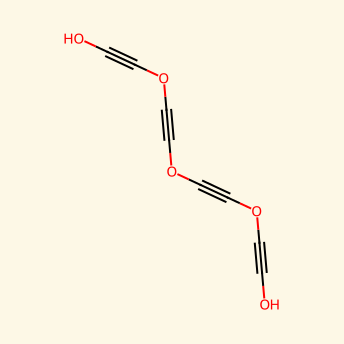 OC#COC#COC#COC#CO